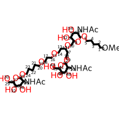 COCCCCCO[C@@H]1OC(COC(CCOCCCOCCCCCO[C@@H]2OC(CO)[C@H](O)C(O)C2NC(C)=O)CCO[C@@H]2OC(CO)[C@H](O)C(O)C2NC(C)=O)[C@H](O)C(O)C1NC(C)=O